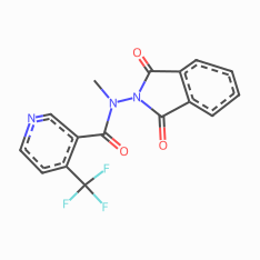 CN(C(=O)c1cnccc1C(F)(F)F)N1C(=O)c2ccccc2C1=O